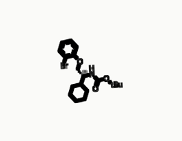 CC(C)(C)OC(=O)N[C@@H](COc1ccccc1Br)C1CCCCC1